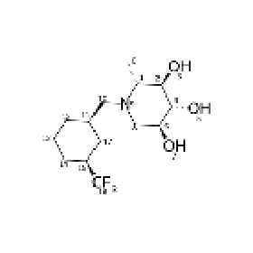 C[C@@H]1[C@@H](O)[C@H](O)[C@@H](O)CN1C[C@@H]1CCC[C@H](C(F)(F)F)C1